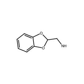 [NH]CC1Oc2ccccc2O1